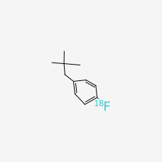 CC(C)(C)Cc1ccc([18F])cc1